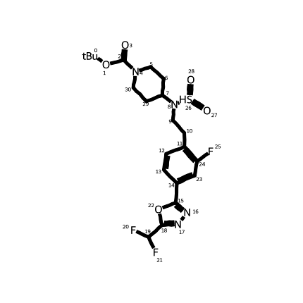 CC(C)(C)OC(=O)N1CCC(N(CCc2ccc(-c3nnc(C(F)F)o3)cc2F)[SH](=O)=O)CC1